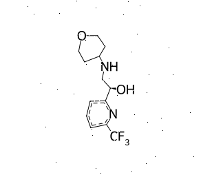 O[C@H](CNC1CCOCC1)c1cccc(C(F)(F)F)n1